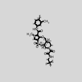 Cc1cc(NC(=O)c2c3c(cn2C)S(=O)(=O)N[C@@H]2CN(C(=O)C(=O)NCC(F)(F)F)CC[C@@H]2CO3)ccc1F